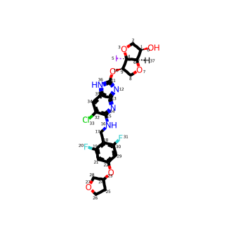 O[C@@H]1CO[C@@]2(I)[C@@H]1OC[C@H]2Oc1nc2nc(NCc3c(F)cc(OC4CCOC4)cc3F)c(Cl)cc2[nH]1